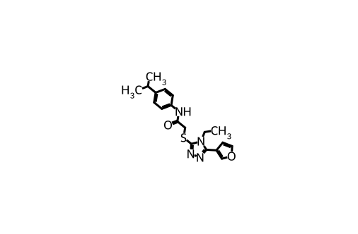 CCn1c(SCC(=O)Nc2ccc(C(C)C)cc2)nnc1-c1ccoc1